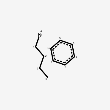 CCCC[N].c1ccccc1